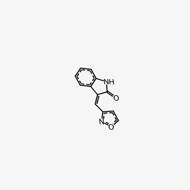 O=C1Nc2ccccc2C1=Cc1ccon1